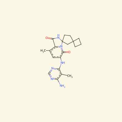 Cc1cc(Nc2ncnc(N)c2C)c(=O)n2c1C(=O)NC21CCC2(CCC2)C1